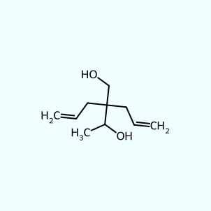 C=CCC(CO)(CC=C)C(C)O